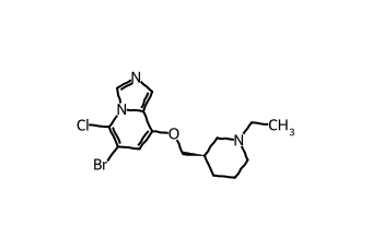 CCN1CCC[C@@H](COc2cc(Br)c(Cl)n3cncc23)C1